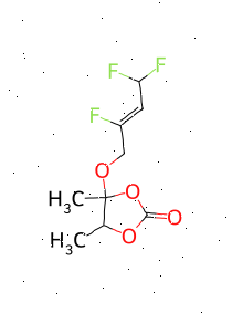 CC1OC(=O)OC1(C)OCC(F)=CC(F)F